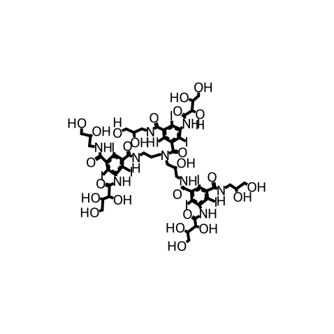 O=C(NCCCN(CC(O)CNC(=O)c1c(I)c(NC(=O)C(O)C(O)CO)c(I)c(C(=O)NCC(O)CO)c1I)C(=O)c1c(I)c(NC(=O)C(O)C(O)CO)c(I)c(C(=O)NCC(O)CO)c1I)c1c(I)c(NC(=O)C(O)C(O)CO)c(I)c(C(=O)NCC(O)CO)c1I